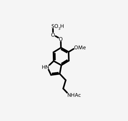 COc1cc2c(CCNC(C)=O)c[nH]c2cc1OOS(=O)(=O)O